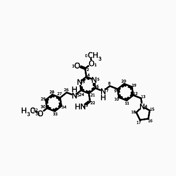 COC(=O)c1nc(NCc2ccc(CN3CCCC3)cc2)c(C=N)c(NCc2ccc(OC)cc2)n1